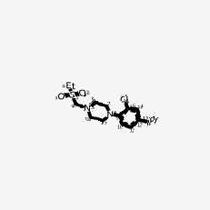 CCS(=O)(=O)CN1CCN(c2ccc(C(C)C)cc2Cl)CC1